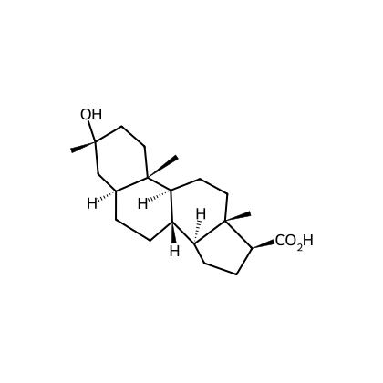 C[C@@]1(O)CC[C@@]2(C)[C@@H](CC[C@@H]3[C@@H]2CC[C@]2(C)[C@@H](C(=O)O)CC[C@@H]32)C1